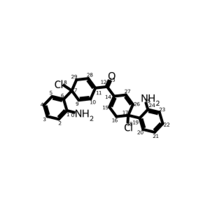 Nc1ccccc1C1(Cl)C=CC(C(=O)C2=CCC(Cl)(c3ccccc3N)C=C2)=CC1